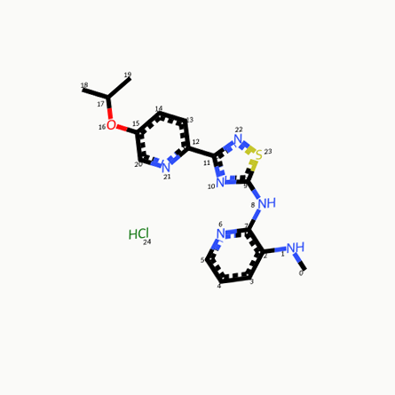 CNc1cccnc1Nc1nc(-c2ccc(OC(C)C)cn2)ns1.Cl